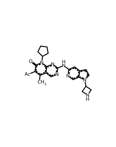 CC(=O)c1c(C)c2cnc(Nc3cc4ccn(C5CNC5)c4cn3)nc2n(C2CCCC2)c1=O